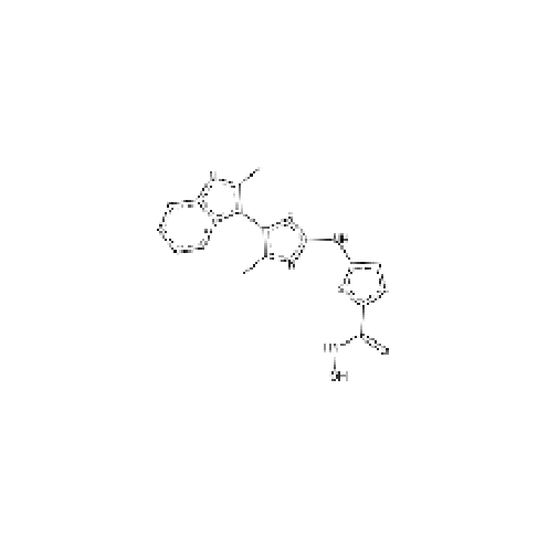 Cc1nc(Nc2ccc(C(=O)NO)s2)sc1-c1c(C)nc2ccccn12